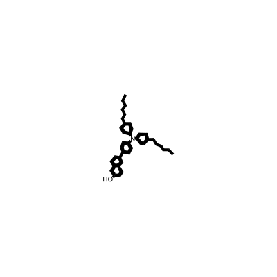 CCCCCCc1ccc(N(c2ccc(CCCCCC)cc2)c2ccc(-c3ccc4cc(O)ccc4c3)cc2)cc1